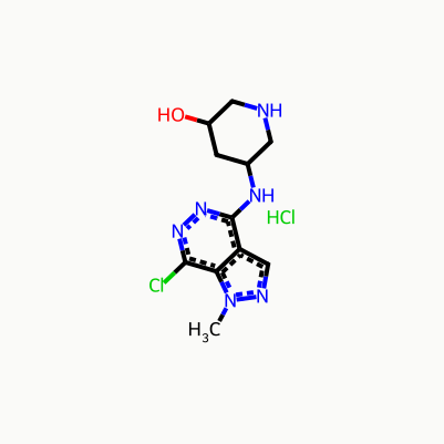 Cl.Cn1ncc2c(NC3CNCC(O)C3)nnc(Cl)c21